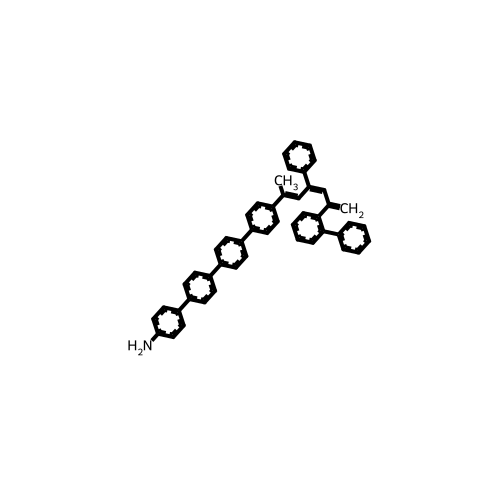 C=C(/C=C(\C=C(/C)c1ccc(-c2ccc(-c3ccc(-c4ccc(N)cc4)cc3)cc2)cc1)c1ccccc1)c1ccccc1-c1ccccc1